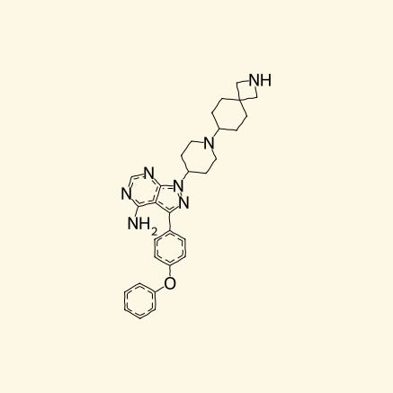 Nc1ncnc2c1c(-c1ccc(Oc3ccccc3)cc1)nn2C1CCN(C2CCC3(CC2)CNC3)CC1